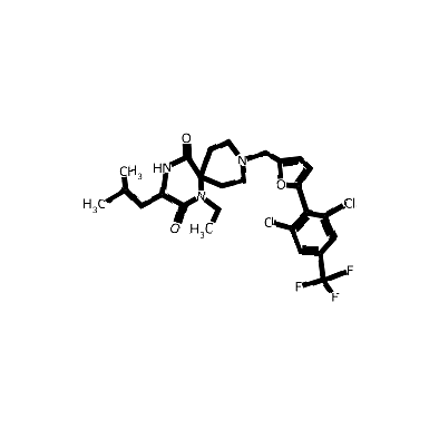 CCN1C(=O)C(CC(C)C)NC(=O)C12CCN(Cc1ccc(-c3c(Cl)cc(C(F)(F)F)cc3Cl)o1)CC2